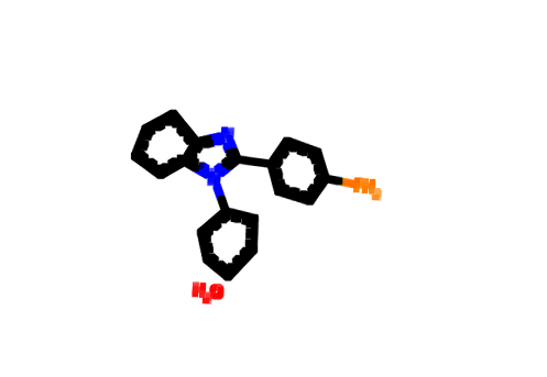 O.Pc1ccc(-c2nc3ccccc3n2-c2ccccc2)cc1